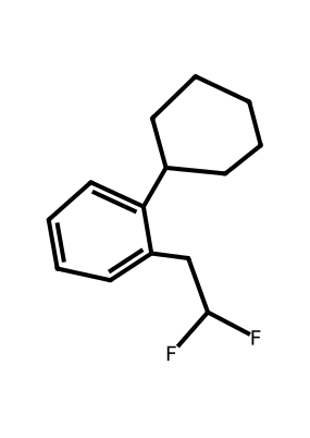 FC(F)Cc1ccccc1C1CCCCC1